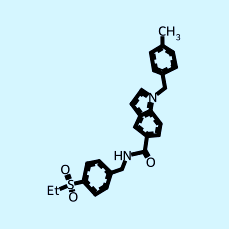 CCS(=O)(=O)c1ccc(CNC(=O)c2ccc3c(ccn3Cc3ccc(C)cc3)c2)cc1